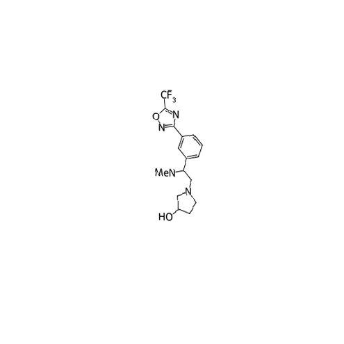 CNC(CN1CCC(O)C1)c1cccc(-c2noc(C(F)(F)F)n2)c1